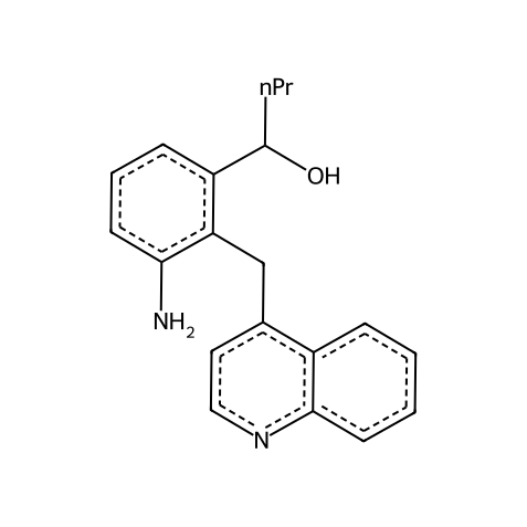 CCCC(O)c1cccc(N)c1Cc1ccnc2ccccc12